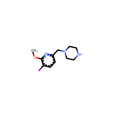 COc1nc(CN2CCNCC2)ccc1I